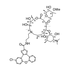 CO[C@]1(C)C[C@H](O[C@H]2[C@H](C)[C@@H](O[C@@H]3O[C@H](C)C[C@H](N(C)C)[C@H]3O)[C@](C)(O)C[C@@H](C)CN(CCCNC(=O)c3cc4c(s3)-c3cc(Cl)ccc3Oc3ccccc3-4)[C@H](C)[C@@H](O)[C@](C)(O)[C@@H](I)OC(=O)[C@@H]2C)O[C@@H](C)[C@@H]1O